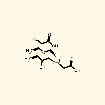 C=CC(O)CO.C=COC=C.O=C(O)CS.O=C(O)CS